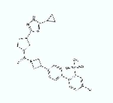 CS(=O)(=O)c1cc(Cl)ccc1-c1ccc(C2CN(C(=O)N3CCC(c4n[nH]c(C5CC5)n4)C3)C2)cc1